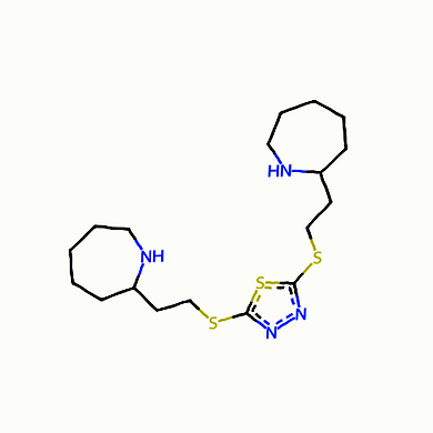 C1CCNC(CCSc2nnc(SCCC3CCCCCN3)s2)CC1